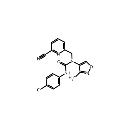 Cc1nocc1N(Cc1cccc(C#N)n1)C(=O)Nc1ccc(Cl)cc1